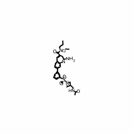 CCCN(OCC)C(=O)C1=Cc2ccc(-c3cccc(S(=O)(=O)N4CC(CNC(C)=O)C4)c3)cc2N=C(N)C1